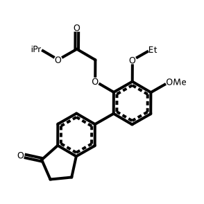 CCOc1c(OC)ccc(-c2ccc3c(c2)CCC3=O)c1OCC(=O)OC(C)C